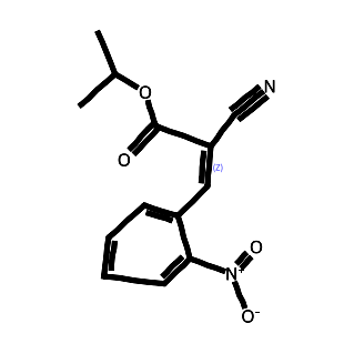 CC(C)OC(=O)/C(C#N)=C\c1ccccc1[N+](=O)[O-]